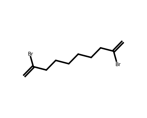 C=C(Br)CCCCCCC(=C)Br